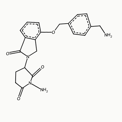 NCc1ccc(COc2cccc3c2CN(C2CCC(=O)N(N)C2=O)C3=O)cc1